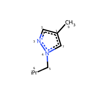 Cc1cnn(CC(C)C)c1